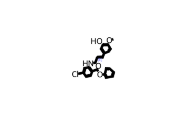 COc1ccc(/C=C/C(=O)Nc2cc(Cl)ccc2COc2ccccc2)cc1O